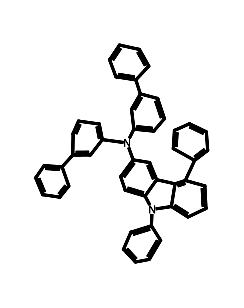 c1ccc(-c2cccc(N(c3cccc(-c4ccccc4)c3)c3ccc4c(c3)c3c(-c5ccccc5)cccc3n4-c3ccccc3)c2)cc1